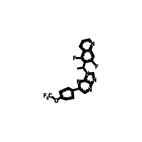 CC(c1c(F)cc2ncccc2c1F)n1cnc2ncc(-c3ccc(OC(F)(F)F)cc3)nc21